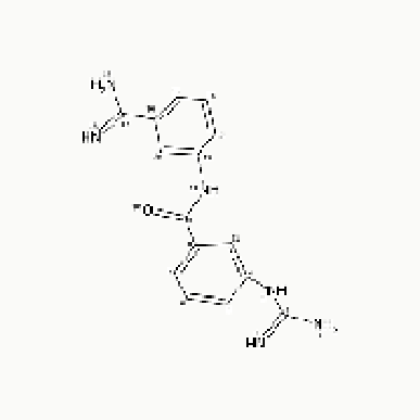 N=C(N)Nc1cccc(C(=O)Nc2cccc(C(=N)N)c2)c1